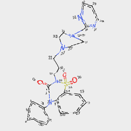 O=C1N(c2ccccc2)c2ccccc2S(=O)(=O)N1CCCN1CCN(c2ncccn2)CC1